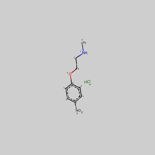 CCCNCCOc1ccc([N+](=O)[O-])cc1.Cl